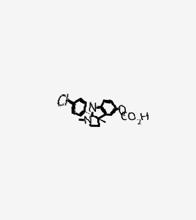 CN1CC[C@@]2(C)c3cc(OC(=O)O)ccc3N(C)[C@]12c1ccc(Cl)cc1